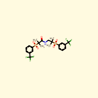 CC(C)(CNC(=O)C(C)(C)S(=O)(=O)c1cccc(C(F)(F)F)c1)S(=O)(=O)c1cccc(C(F)(F)F)c1